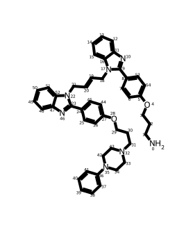 NCCCOc1ccc(-c2nc3ccccc3n2C/C=C/Cn2c(-c3ccc(OCCCN4CCN(c5ccccc5)CC4)cc3)nc3ccccc32)cc1